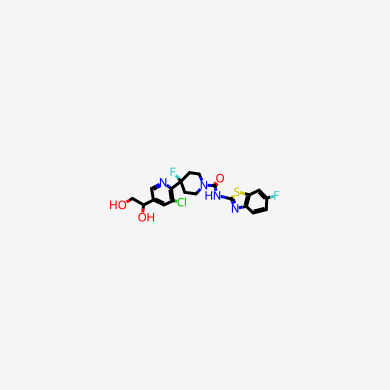 O=C(Nc1nc2ccc(F)cc2s1)N1CCC(F)(c2ncc(C(O)CO)cc2Cl)CC1